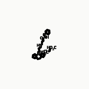 O=C(/C=C/CNCCCCN1c2ccccc2CCc2ccc(Cl)cc21)NOc1ccccc1.O=C(O)/C=C\C(=O)O